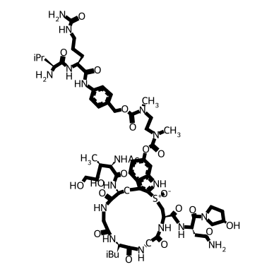 CC[C@H](C)[C@@H]1NC(=O)CNC(=O)[C@H](NC(=O)[C@@H](NC(C)=O)[C@@H](C)[C@@H](O)CO)Cc2c([nH]c3cc(OC(=O)N(C)CCN(C)C(=O)OCc4ccc(NC(=O)[C@H](CCCNC(N)=O)NC(=O)[C@@H](N)C(C)C)cc4)ccc23)[S+]([O-])C[C@@H](C(=O)N[C@@H](CC(N)=O)C(=O)N2CC[C@@H](O)C2)NC(=O)CNC1=O